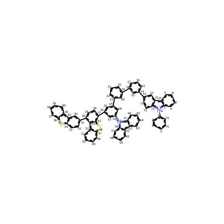 c1ccc(-n2c3ccccc3c3cc(-c4cccc(-c5cccc(-c6cc(-c7ccc(-c8ccc9sc%10ccccc%10c9c8)c8c7sc7ccccc78)cc(-n7c8ccccc8c8ccccc87)c6)c5)c4)ccc32)cc1